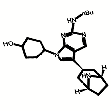 CCCCNc1ncc2c([C@@H]3C[C@H]4CC[C@@H](C3)N4)cn(C3CCC(O)CC3)c2n1